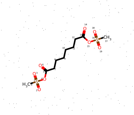 CS(=O)(=O)OC(=O)CCCCCCC(=O)OS(C)(=O)=O